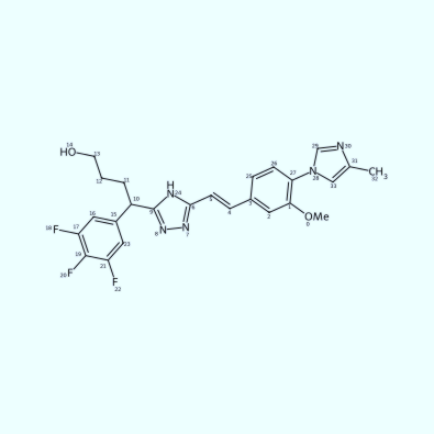 COc1cc(C=Cc2nnc(C(CCCO)c3cc(F)c(F)c(F)c3)[nH]2)ccc1-n1cnc(C)c1